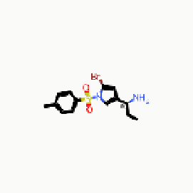 CC[C@H](N)c1cc(Br)n(S(=O)(=O)c2ccc(C)cc2)c1